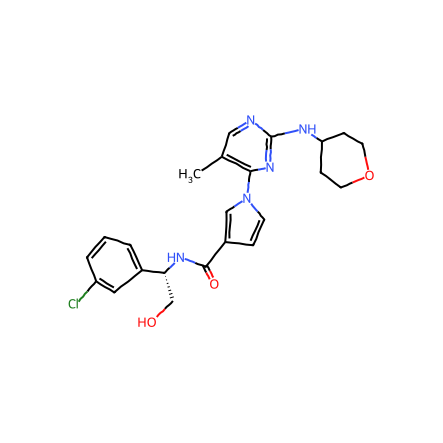 Cc1cnc(NC2CCOCC2)nc1-n1ccc(C(=O)N[C@H](CO)c2cccc(Cl)c2)c1